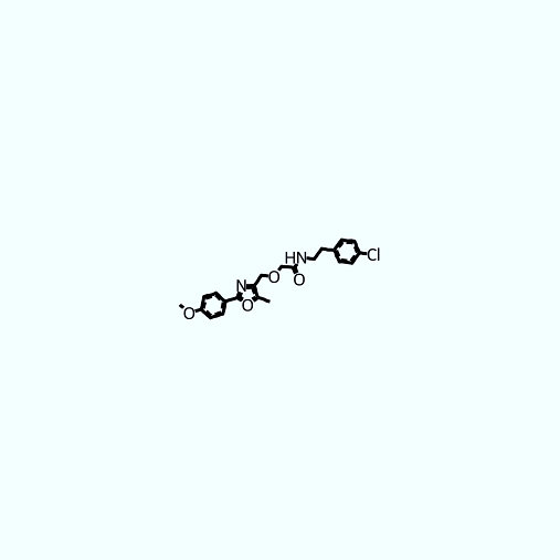 COc1ccc(-c2nc(COCC(=O)NCCc3ccc(Cl)cc3)c(C)o2)cc1